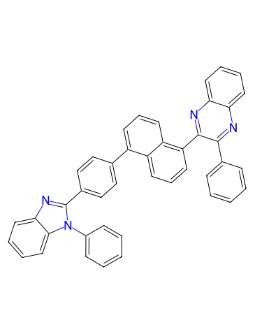 c1ccc(-c2nc3ccccc3nc2-c2cccc3c(-c4ccc(-c5nc6ccccc6n5-c5ccccc5)cc4)cccc23)cc1